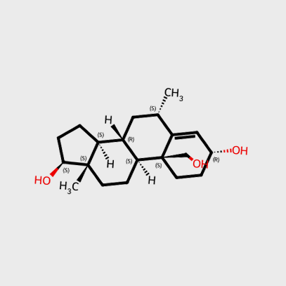 C[C@H]1C[C@@H]2[C@H](CC[C@]3(C)[C@@H](O)CC[C@@H]23)[C@@]2(CO)CC[C@@H](O)C=C12